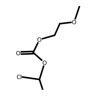 COCCOC(=O)OC(C)Cl